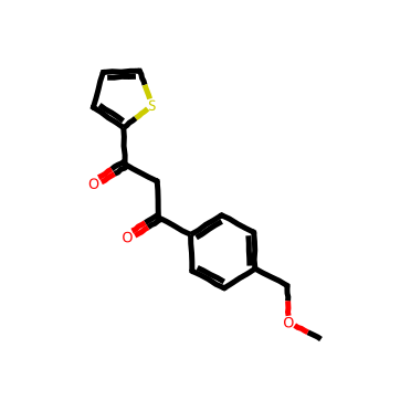 COCc1ccc(C(=O)CC(=O)c2cccs2)cc1